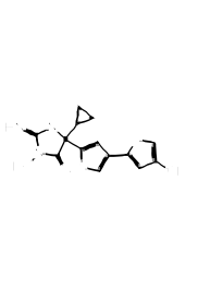 Cc1csc(-c2csc(C3(C4CC4)NC(=N)N(C)C3=O)c2)c1